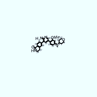 COc1cc(N(C)C2CCOCC2)ccc1-c1cnc(N)c(-c2ccc3c(c2)CCNC3=O)c1